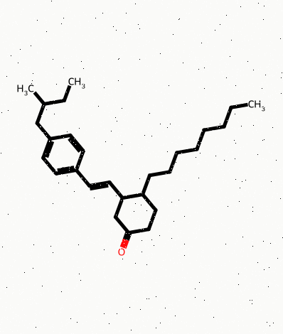 CCCCCCCCC1CCC(=O)CC1C=Cc1ccc(CC(C)CC)cc1